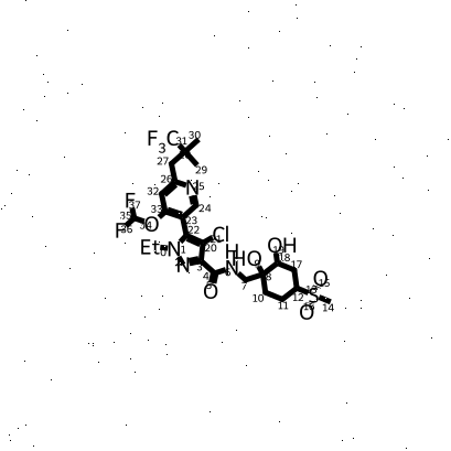 CCn1nc(C(=O)NCC2(O)CCC(S(C)(=O)=O)CC2O)c(Cl)c1-c1cnc(CC(C)(C)C(F)(F)F)cc1OC(F)F